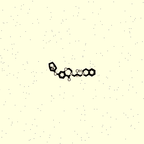 CC(=O)N1C2CCC1CC(Oc1ccc3c(c1)OCCN(C[C@H](O)CN1CCc4ccccc4C1)C3=O)C2